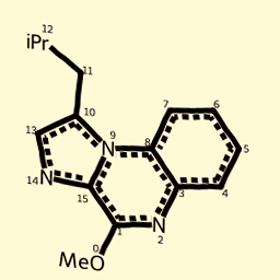 COc1nc2ccccc2n2c(CC(C)C)cnc12